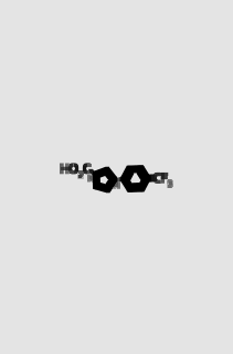 O=C(O)[C@H]1CC[C@@H](c2ccc(C(F)(F)F)cc2)C1